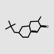 CC1CC2CC(CC(C)(C)C)CCC2=CC1=O